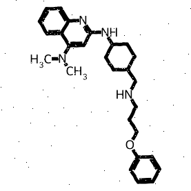 CN(C)c1cc(NC2CCC(CNCCCOc3ccccc3)CC2)nc2ccccc12